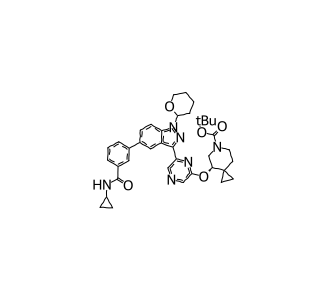 CC(C)(C)OC(=O)N1CCC2(CC2)[C@@H](Oc2cncc(-c3nn(C4CCCCO4)c4ccc(-c5cccc(C(=O)NC6CC6)c5)cc34)n2)C1